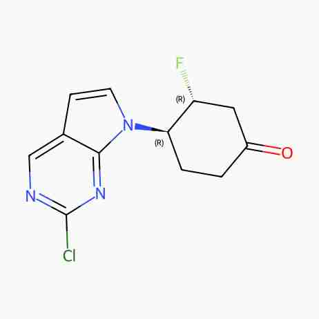 O=C1CC[C@@H](n2ccc3cnc(Cl)nc32)[C@H](F)C1